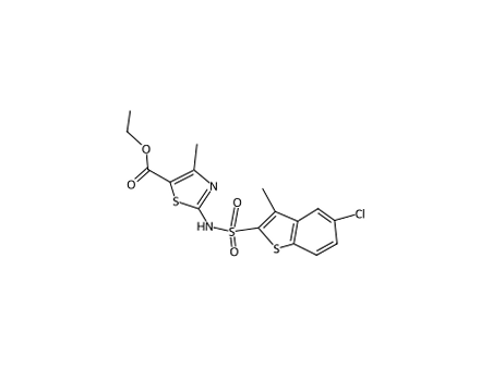 CCOC(=O)c1sc(NS(=O)(=O)c2sc3ccc(Cl)cc3c2C)nc1C